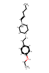 CCCC=C[Si@H]1CC[C@H](CCc2ccc(OCC)cc2)CC1